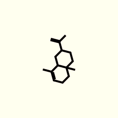 C=C(C)C1CCC2(C)CCC=C(C)C2C1